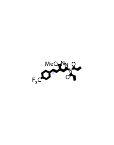 C=CC(=O)N(C(=O)C=C)c1cc(/C=C/C2CCC(C(F)(F)F)CC2)c(OC)nn1